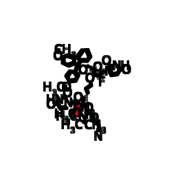 COc1ccc(C(OC[C@H]2O[C@@H](n3ccc(=O)[nH]c3=O)[C@H](F)[C@@H]2OCCC[C@H]2O[C@@H](n3ccc(=O)[nH]c3=O)[C@H](OC)[C@@H]2OP(OCCC#N)N(C(C)C)C(C)C)(c2ccccc2)c2ccc(OC)cc2)cc1